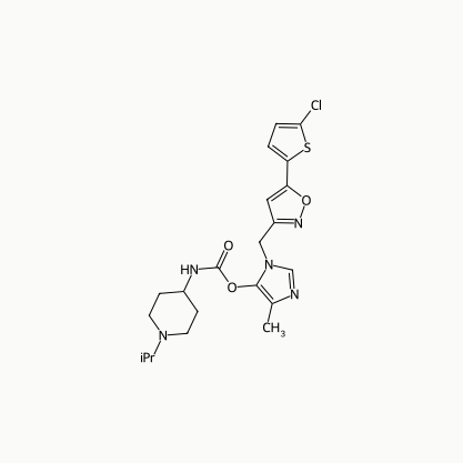 Cc1ncn(Cc2cc(-c3ccc(Cl)s3)on2)c1OC(=O)NC1CCN(C(C)C)CC1